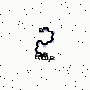 CC/C=C\C/C=C\C/C=C\C/C=C\C/C=C\C/C=C\CC(CC)(CC)C(=O)OCC